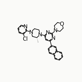 C[C@@H]1CN(c2ncccc2Cl)CCN1c1cc(-c2ccc3ccccc3c2)nc(N2CCOCC2)n1